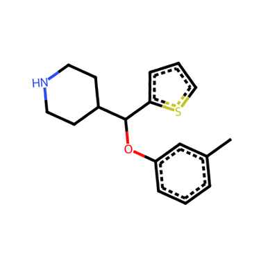 Cc1cccc(OC(c2cccs2)C2CCNCC2)c1